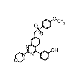 O=S(=O)(CC1=Cc2nc(N3CCOCC3)nc(-c3cccc(O)c3)c2CC1)c1ccc(OC(F)(F)F)cc1